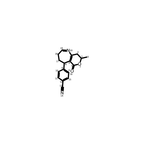 CC1CC2=C(C(=O)O1)C(c1ccc(C#N)cc1)CCC=N2